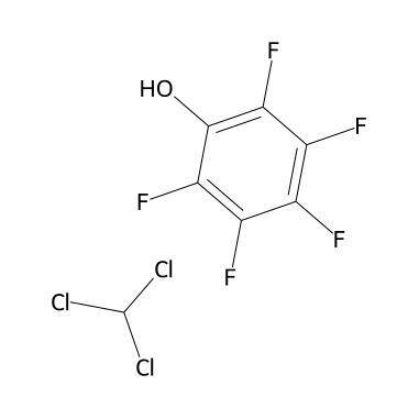 ClC(Cl)Cl.Oc1c(F)c(F)c(F)c(F)c1F